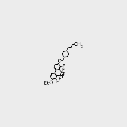 C=CCCC1CCC(COc2ccc3c(c2F)C(F)(F)C(F)(F)c2c-3ccc(OCC)c2F)CC1